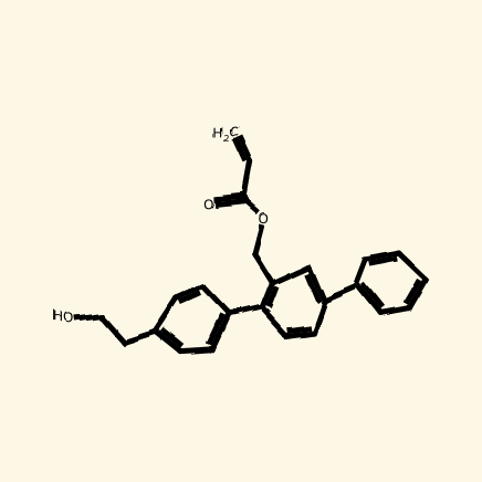 C=CC(=O)OCc1cc(-c2ccccc2)ccc1-c1ccc(CCO)cc1